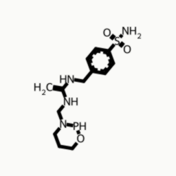 C=C(NCc1ccc(S(N)(=O)=O)cc1)NCN1CCCOP1